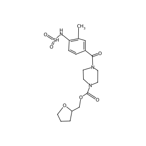 Cc1cc(C(=O)N2CCN(C(=O)OCC3CCCO3)CC2)ccc1N[SH](=O)=O